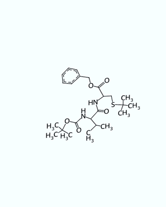 CC(C)C(NC(=O)OC(C)(C)C)C(=O)NC(CSC(C)(C)C)C(=O)OCc1ccccc1